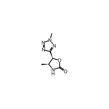 C[C@@H]1NC(=O)O[C@@H]1c1nnn(C)n1